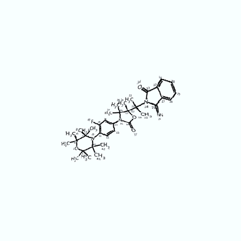 CC1(C)OC(C)(C)C(C)(C)N(c2ccc(N3C(=O)O[C@@](C)(C(C)(C)N4C(=N)c5ccccc5C4=O)C3(C)C)cc2F)C1(C)C